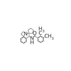 Cc1cccc(C(=O)NC(c2ccccc2)C2(N3CCC3)CCCC2)c1C